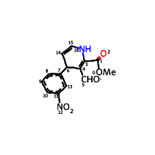 COC(=O)C1=C([C]=O)C(c2cccc([N+](=O)[O-])c2)C=CN1